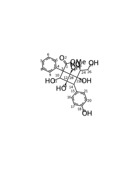 COC(=O)C1(c2ccccc2)C(O)[C@@]2(O)C(c3ccc(O)cc3)[C@@](O)([C@H](O)CO)[C@@]12O